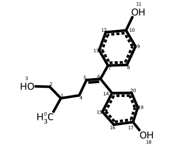 CC(CO)CC=C(c1ccc(O)cc1)c1ccc(O)cc1